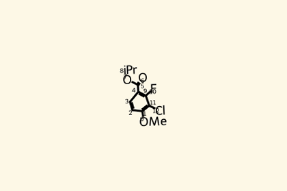 COc1ccc(C(=O)OC(C)C)c(F)c1Cl